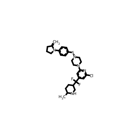 C=C1CCCN1c1ccc(SN2CCN(c3cc(C(F)(F)C4CCC(C)NC4)cc(Cl)n3)CC2)cc1